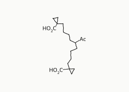 CC(=O)C(CCCCC1(C(=O)O)CC1)CCCCC1(C(=O)O)CC1